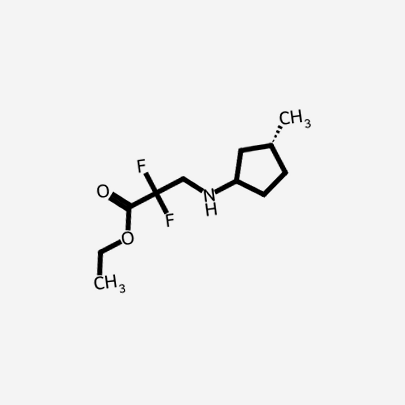 CCOC(=O)C(F)(F)CNC1CC[C@@H](C)C1